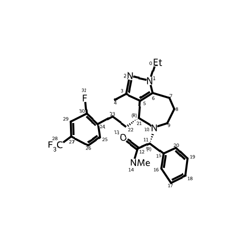 CCn1nc(C)c2c1CCCN([C@@H](C(=O)NC)c1ccccc1)[C@@H]2CCc1ccc(C(F)(F)F)cc1F